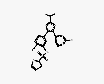 CC(C)c1nc(-c2ccc(F)c(NS(=O)(=O)C3CC=CO3)c2)c(-c2ccnc(Cl)n2)s1